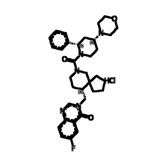 Cl.O=C(N1CC[C@@H](Cn2cnc3ccc(F)cc3c2=O)C2(CCCC2)C1)N1CC[C@@H](N2CCOCC2)C[C@H]1c1ccccc1